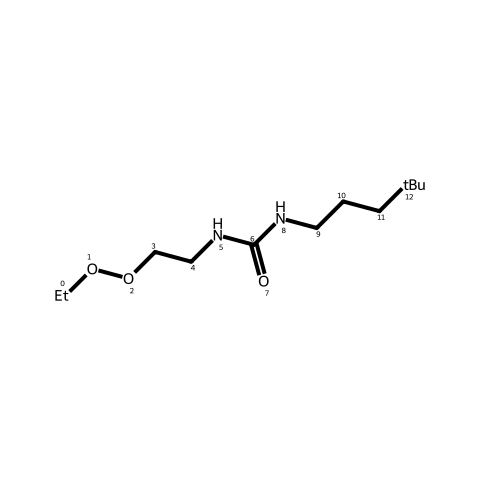 CCOOCCNC(=O)NCCCC(C)(C)C